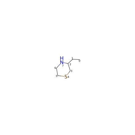 CCC1CSCCN1